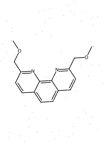 [CH2]OCc1ccc2ccc3ccc(CO[CH2])nc3c2n1